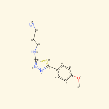 COc1ccc(-c2nnc(NCCCN)s2)cc1